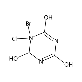 OC1=NC(O)[N+](Cl)(Br)C(O)=N1